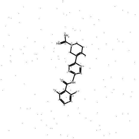 CC1=C(c2cnc(NC(=O)c3c(F)cccc3F)cn2)CN(C(=N)N)CC1